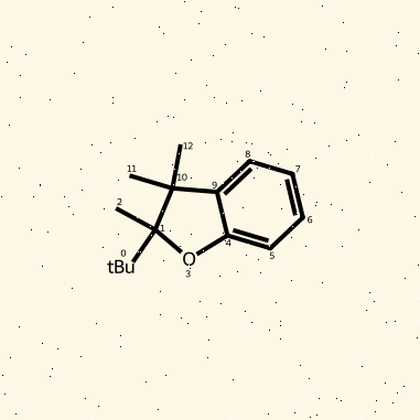 CC(C)(C)C1(C)Oc2ccccc2C1(C)C